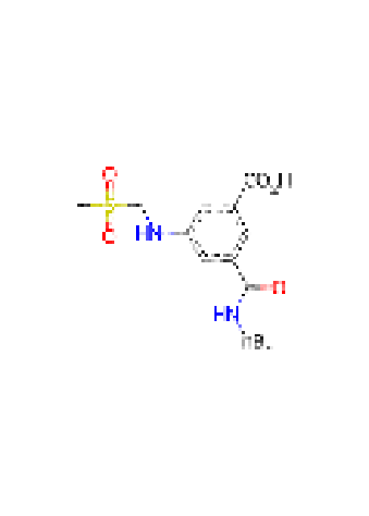 CCCCNC(=O)c1cc(NCS(C)(=O)=O)cc(C(=O)O)c1